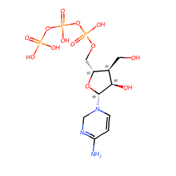 NC1=NCN([C@@H]2O[C@H](COP(=O)(O)OP(=O)(O)OP(=O)(O)O)[C@@H](CO)[C@H]2O)C=C1